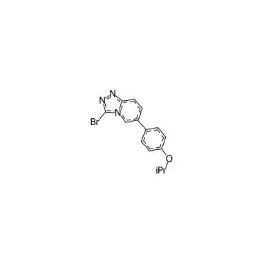 CC(C)Oc1ccc(-c2ccc3nnc(Br)n3c2)cc1